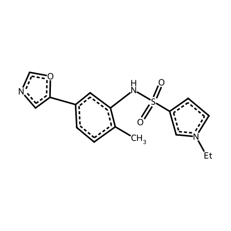 CCn1ccc(S(=O)(=O)Nc2cc(-c3cnco3)ccc2C)c1